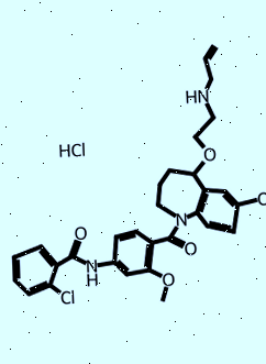 C=CCNCCOC1CCCN(C(=O)c2ccc(NC(=O)c3ccccc3Cl)cc2OC)c2ccc(Cl)cc21.Cl